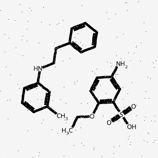 CCOc1ccc(N)cc1S(=O)(=O)O.Cc1cccc(NCCc2ccccc2)c1